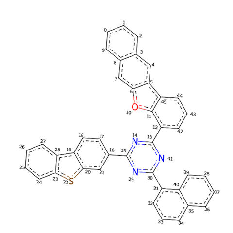 c1ccc2cc3c(cc2c1)oc1c(-c2nc(-c4ccc5c(c4)sc4ccccc45)nc(-c4cccc5ccccc45)n2)cccc13